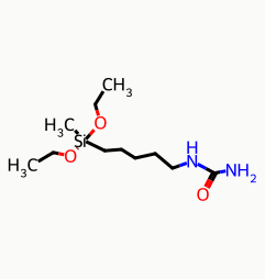 CCO[Si](C)(CCCCCNC(N)=O)OCC